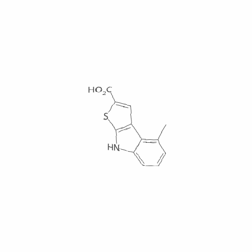 Cc1cccc2[nH]c3sc(C(=O)O)cc3c12